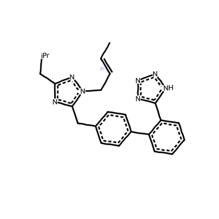 C/C=C/Cn1nc(CC(C)C)nc1Cc1ccc(-c2ccccc2-c2nnn[nH]2)cc1